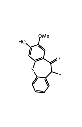 CCC1C(=O)c2cc(OC)c(O)cc2Sc2ccccc21